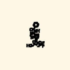 C[C@H]1[C@@H](OC(F)(F)F)[C@H](n2cnc3c(NC(=O)c4ccccc4)ncnc32)O[C@@H]1CO